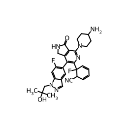 CC(C)(O)Cn1ncc2cc(-c3c(C4(F)C=CC=CC4C#N)nc(N4CCC(N)CC4)c4c3CNC4=O)c(F)cc21